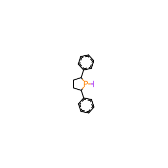 IP1C(c2ccccc2)CCC1c1ccccc1